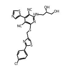 [C-]#[N+]c1c(NC[C@@H](O)CO)nc(SCc2csc(-c3ccc(Cl)cc3)n2)c(C#N)c1-c1cncs1